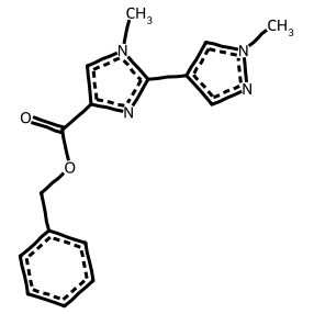 Cn1cc(-c2nc(C(=O)OCc3ccccc3)cn2C)cn1